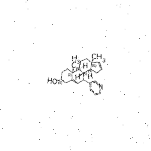 C[C@@]12C=CC[C@H]1[C@@H]1C(c3cccnc3)C=C3C[C@@H](O)CC[C@]3(C)[C@H]1CC2